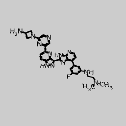 CN(C)CCNc1cc(F)cc(-c2ccnc3[nH]c(-c4n[nH]c5ccc(-c6cncc(N7CC(N)C7)n6)nc45)nc23)c1